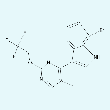 Cc1cnc(OCC(F)(F)F)nc1-c1c[nH]c2c(Br)cccc12